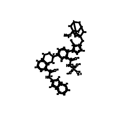 COC12CC3CC(CC(Cn4ncc(-c5ccc(N6CCc7cccc(C(=O)Nc8nc9ccccc9s8)c7C6)nc5C(=O)NS(=O)(=O)C(F)(F)F)c4C)(C3)C1)C2